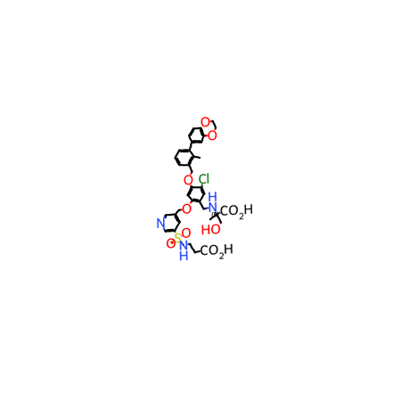 Cc1c(COc2cc(OCc3cncc(S(=O)(=O)NCCC(=O)O)c3)c(CN[C@@](C)(CO)C(=O)O)cc2Cl)cccc1-c1ccc2c(c1)OCCO2